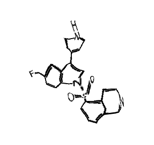 O=S(=O)(c1cccc2cnccc12)n1cc(C2=CCNCC2)c2cc(F)ccc21